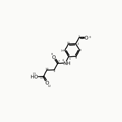 O=Cc1ccc(NC(=O)CCC(=O)O)cc1